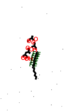 C=C(COC)C(=O)OCC(COCC(F)(F)C(F)(F)C(F)(F)C(F)(F)C(F)(F)C(F)(F)CCCCCCC)COC(=O)C(=C)CC(CO)CO